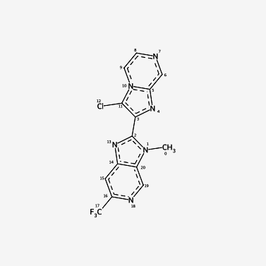 Cn1c(-c2nc3cnccn3c2Cl)nc2cc(C(F)(F)F)ncc21